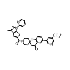 Cc1nn(-c2ccccn2)c2sc(C(=O)N3CCC4(CC3)CC(=O)c3cc(-c5cncc(C(=O)O)c5)ccc3O4)cc12